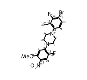 COc1cc(N2CCN(c3ccc(Br)c(F)c3F)CC2)c(F)cc1[N+](=O)[O-]